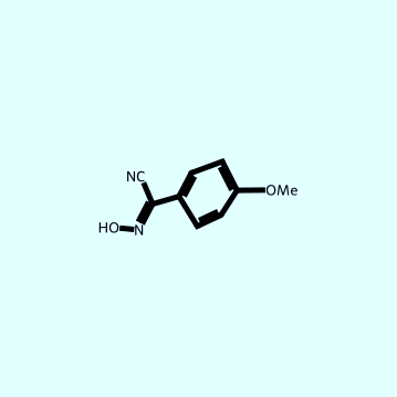 COc1ccc(C(C#N)=NO)cc1